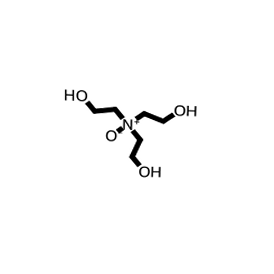 [O-][N+](CCO)(CCO)CCO